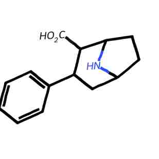 O=C(O)C1C2CCC(CC1c1ccccc1)N2